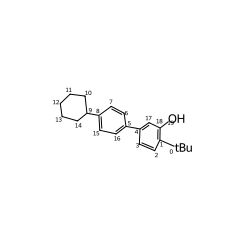 CC(C)(C)c1ccc(-c2ccc(C3CCCCC3)cc2)cc1O